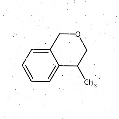 CC1COCc2ccccc21